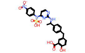 CC(Nc1nccc(N(c2ccc([N+](=O)[O-])cc2)S(=O)(=O)O)n1)c1ccc(Cc2ccc(O)c(C(=O)O)c2)cc1